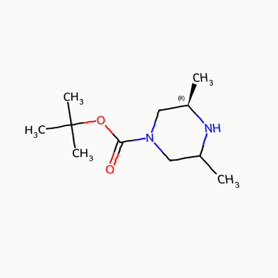 CC1CN(C(=O)OC(C)(C)C)C[C@@H](C)N1